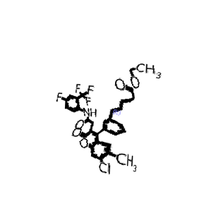 CCOC(=O)C=C/C=C/c1cccc(-c2c(CC(=O)Nc3ccc(F)cc3C(F)(F)F)c(=O)oc3cc(Cl)c(C)cc23)c1